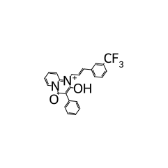 O=c1c(-c2ccccc2)c(O)[n+](C/C=C/c2cccc(C(F)(F)F)c2)c2ccccn12